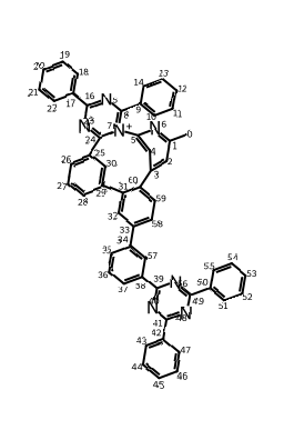 Cc1cc2cc(n1)[n+]1c(-c3ccccc3)nc(-c3ccccc3)nc1c1cccc(c1)c1cc(-c3cccc(-c4nc(-c5ccccc5)nc(-c5ccccc5)n4)c3)ccc21